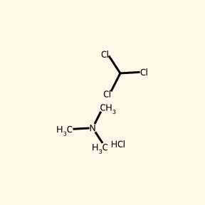 CN(C)C.Cl.ClC(Cl)Cl